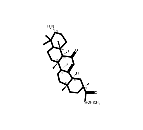 CN(O)C(=O)[C@@]1(C)CC[C@]2(C)CC[C@]3(C)C(=CC(=O)[C@@H]4[C@@]5(C)CC[C@@H](N)C(C)(C)C5CC[C@]43C)[C@H]2C1